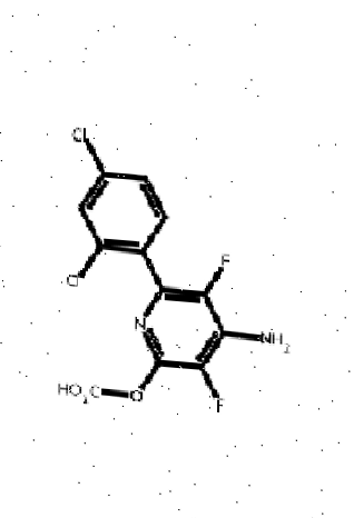 Nc1c(F)c(OC(=O)O)nc(-c2ccc(Cl)cc2Cl)c1F